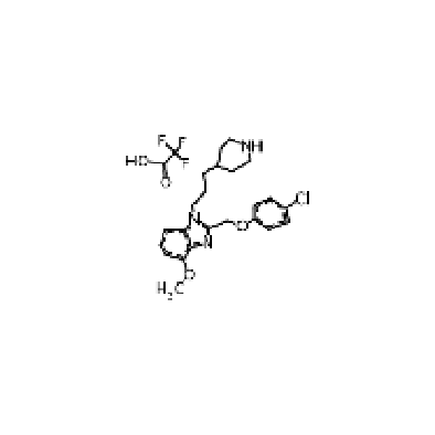 COc1cccc2c1nc(COc1ccc(Cl)cc1)n2CCCC1CCNCC1.O=C(O)C(F)(F)F